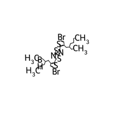 CBCC(CCCC)Cc1cc(Br)sc1-c1nc2sc(-c3sc(Br)cc3CC(CC)CCCC)nc2s1